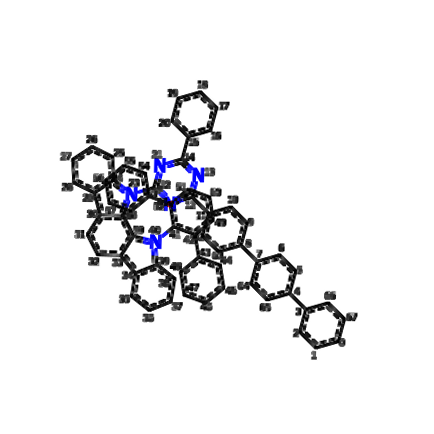 c1ccc(-c2ccc(-c3ccc(-c4nc(-c5ccccc5)nc(-n5c6ccccc6c6ccc7c8ccccc8n(-c8c(-c9ccccc9)cccc8-c8ccccc8)c7c65)n4)cc3)cc2)cc1